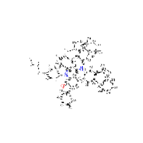 CCCCc1ccc2c(c1)c1cc(CCCC)cc3c1n2-c1c2c(cc4c1oc1ccccc14)-c1cc4c(cc1N(c1cc5c(cc1C)C(C)(C)CCC5(C)C)B23)C(C)(C)c1ccccc1-4